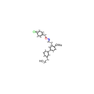 COc1ccc(-c2cccc(CC(=O)O)c2)cc1CC=NOCc1ccc(Cl)cc1